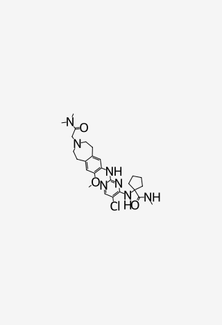 CNC(=O)C1(Nc2nc(Nc3cc4c(cc3OC)CCN(CC(=O)N(C)C)CC4)ncc2Cl)CCCC1